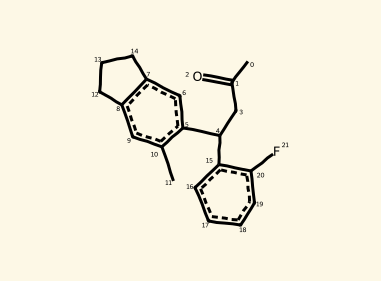 CC(=O)CC(c1cc2c(cc1C)CCC2)c1ccccc1F